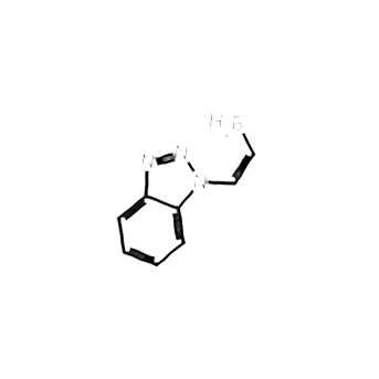 B/C=C\n1nnc2ccccc21